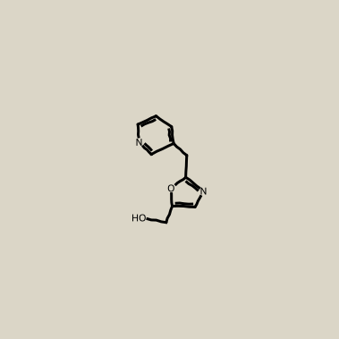 OCc1cnc(Cc2cccnc2)o1